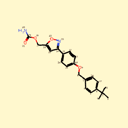 CC(C)(C)c1ccc(COc2ccc(-c3cc(COC(N)=O)on3)cc2)cc1